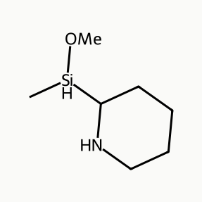 CO[SiH](C)C1CCCCN1